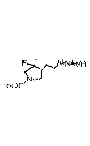 N=[N+]=NCCC1CCN(C(=O)[O-])CC1(F)F